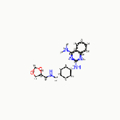 CN(C)c1nc(N[C@H]2CC[C@@H](CNCC3COCO3)CC2)nc2ccccc12